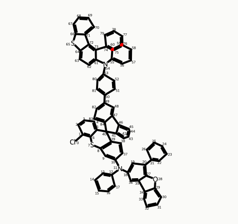 Clc1cccc2c1Sc1cc(N(c3ccccc3)c3cc(-c4ccccc4)c4oc5ccccc5c4c3)ccc1C21c2ccccc2-c2cc(-c3ccc(N(c4ccccc4)c4ccc5sc6ccccc6c5c4-c4ccccc4)cc3)ccc21